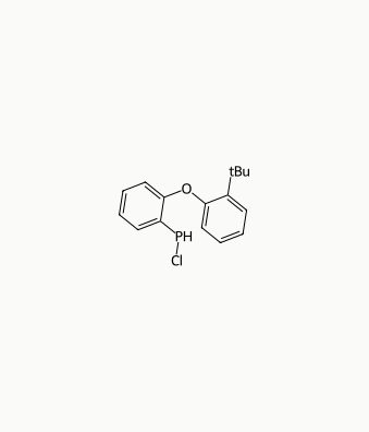 CC(C)(C)c1ccccc1Oc1ccccc1PCl